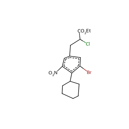 CCOC(=O)C(Cl)Cc1cc(Br)c(C2CCCCC2)c([N+](=O)[O-])c1